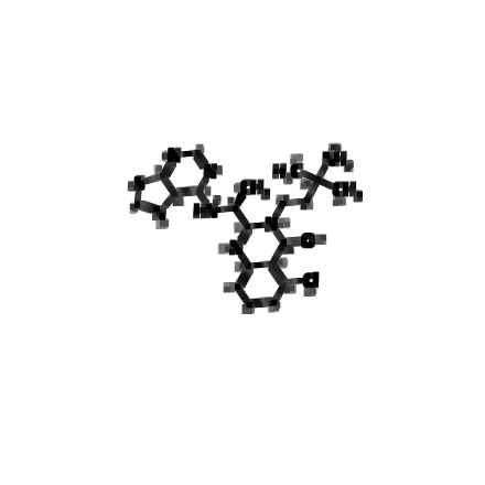 C[C@H](Nc1ncnc2scnc12)c1nc2cccc(Cl)c2c(=O)n1CCC(C)(C)N